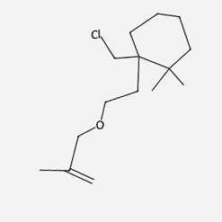 C=C(C)COCCC1(CCl)CCCCC1(C)C